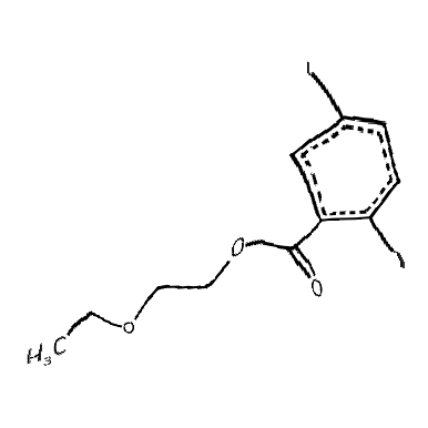 CCOCCOC(=O)c1cc(I)ccc1I